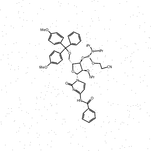 CCCO[C@@H]1[C@H](OP(OCCC#N)N(C(C)C)C(C)C)[C@@H](COC(c2ccccc2)(c2ccc(OC)cc2)c2ccc(OC)cc2)O[C@H]1n1ccc(NC(=O)c2ccccc2)nc1=O